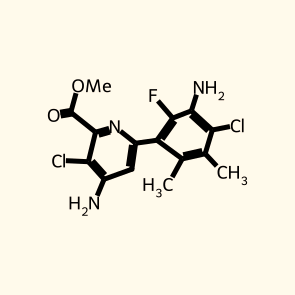 COC(=O)c1nc(-c2c(C)c(C)c(Cl)c(N)c2F)cc(N)c1Cl